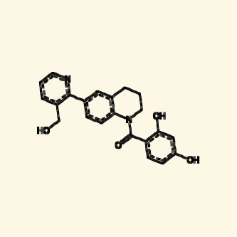 O=C(c1ccc(O)cc1O)N1CCCc2cc(-c3ncccc3CO)ccc21